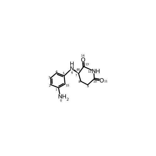 Nc1cccc(N[C@@H]2CCC(=O)NC2=O)c1